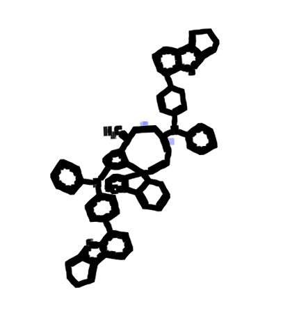 C=C1/C=C\C(N(C2=CCC(c3cccc4c5c(sc34)=CCCC=5)C=C2)c2ccccc2)=C/C=CC2(c3cc(N(c4ccccc4)c4ccc(-c5cccc6c7c(sc56)=CCCC=7)cc4)ccc31)c1ccccc1C1=CC=CCC12